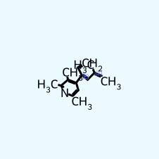 C=C/C(=C\C(C)=C/C)c1cc(C)nc(C)c1C